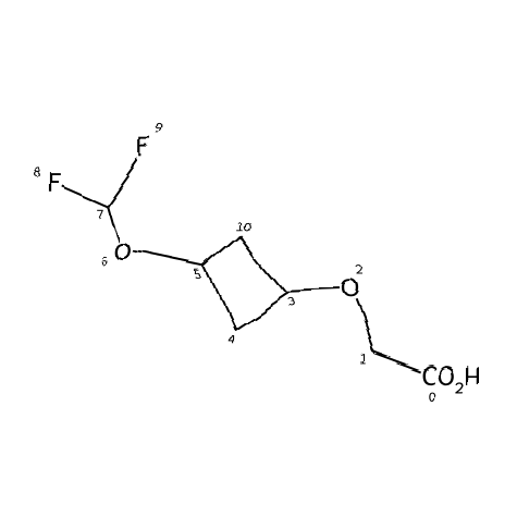 O=C(O)COC1CC(OC(F)F)C1